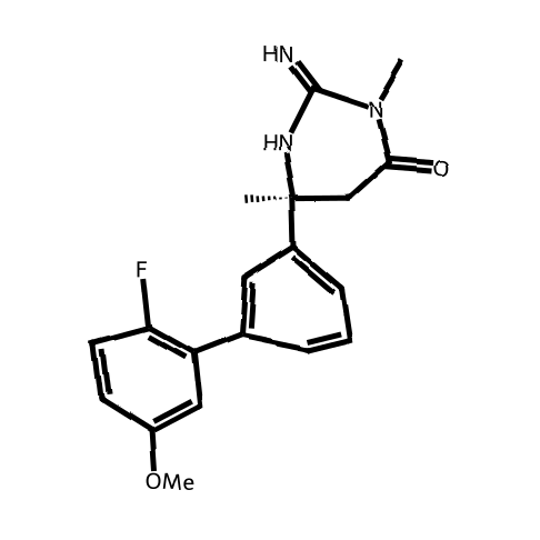 COc1ccc(F)c(-c2cccc([C@]3(C)CC(=O)N(C)C(=N)N3)c2)c1